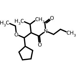 CCCN(C=O)C(=O)C(C(C)C)C(OCC)C1CCCC1